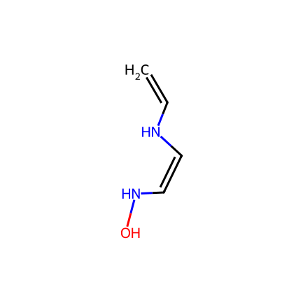 C=CN/C=C\NO